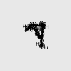 CC(C)(C)OC(=O)NCCOCCOCCOCCOCCNc1c(NCCCCCCO[C@]2(C(=O)O)C[C@H](O)[C@@H](NC(=O)CF)[C@H]([C@H](O)[C@H](O)CNC(=O)Cc3ccc(-c4ccccc4)cc3)O2)c(=O)c1=O